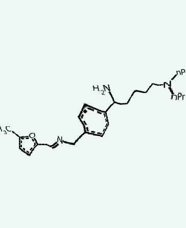 CCCN(CCC)CCCCC(N)c1ccc(CN=Cc2ccc(C)o2)cc1